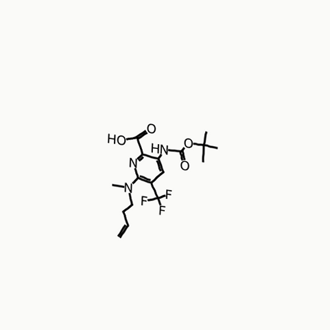 C=CCCN(C)c1nc(C(=O)O)c(NC(=O)OC(C)(C)C)cc1C(F)(F)F